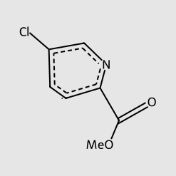 COC(=O)c1[c]cc(Cl)cn1